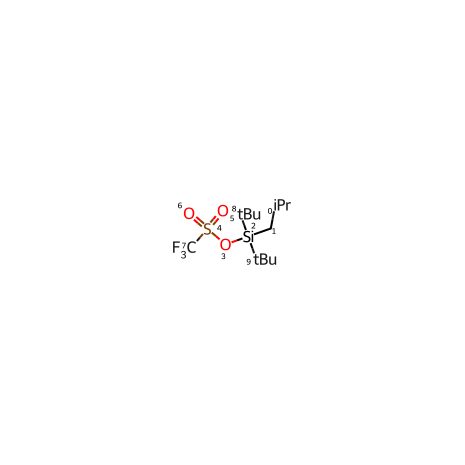 CC(C)C[Si](OS(=O)(=O)C(F)(F)F)(C(C)(C)C)C(C)(C)C